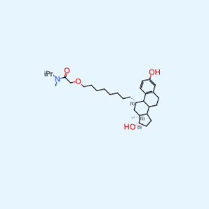 CC(C)N(C)C(=O)COCCCCCCCC[C@H]1C[C@@]2(C)C(CC[C@@H]2O)C2CCc3cc(O)ccc3C21